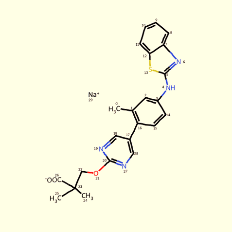 Cc1cc(Nc2nc3ccccc3s2)ccc1-c1cnc(OCC(C)(C)C(=O)[O-])nc1.[Na+]